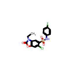 CCn1c(=O)oc2cc(Cl)c(S(=O)(=O)Nc3ccc(F)cc3)cc21